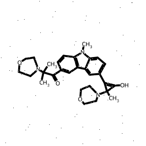 Cn1c2ccc(C(=O)C(C)(C)N3CCOCC3)cc2c2cc(C3=C(O)C3(C)N3CCOCC3)ccc21